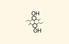 CCCc1cc(O)cc(C(C)C)c1-c1c(CCC)cc(O)cc1C(C)C